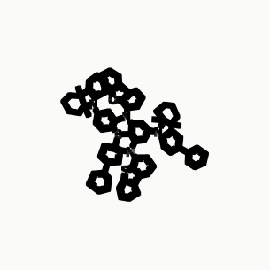 CC12CCCCC1(C)N(c1ccc3c(c1)N(c1cccc4c1oc1ccccc14)c1cc(N4c5ccc(-c6ccccc6)cc5C5(C)CCCCC45C)cc4c1B3c1ccc(-c3ccccc3)cc1N4c1cccc3c1sc1ccccc13)c1ccccc12